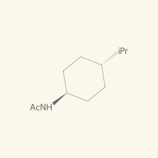 CC(=O)N[C@H]1CC[C@H](C(C)C)CC1